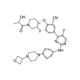 CC(O)C(=O)N1CC[C@H](Oc2ccc(-c3nc(Nc4ccc(N5CCN(C6COC6)CC5)cc4)ncc3F)cc2C#N)C(F)C1